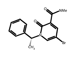 CNC(=O)c1cc(Br)cn([C@H](C)c2ccccc2)c1=O